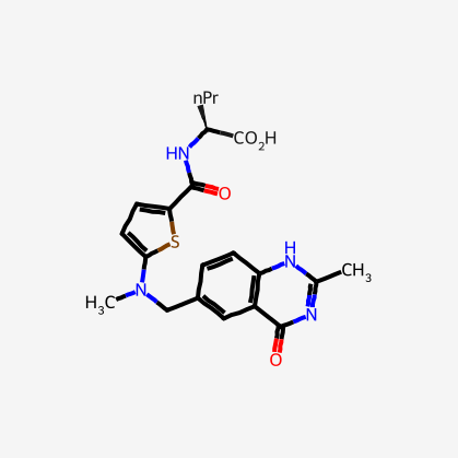 CCC[C@H](NC(=O)c1ccc(N(C)Cc2ccc3[nH]c(C)nc(=O)c3c2)s1)C(=O)O